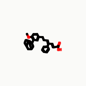 COc1ccc(CCC=C(C=CC(=O)O)c2ccccc2)cc1C12CC3CC(CC(C3)C1)C2